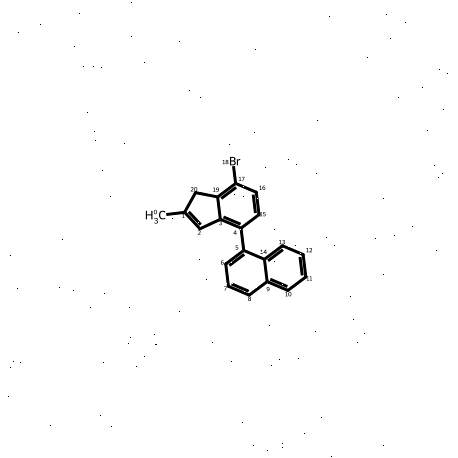 CC1=Cc2c(-c3cccc4ccccc34)ccc(Br)c2C1